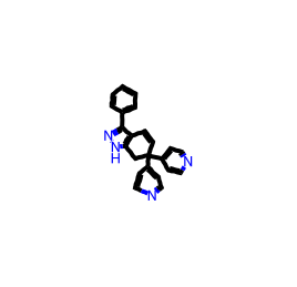 C1=CC(c2ccncc2)(c2ccncc2)Cc2[nH]nc(-c3ccccc3)c21